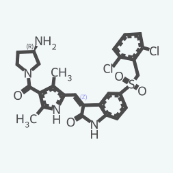 Cc1[nH]c(/C=C2\C(=O)Nc3ccc(S(=O)(=O)Cc4c(Cl)cccc4Cl)cc32)c(C)c1C(=O)N1CC[C@@H](N)C1